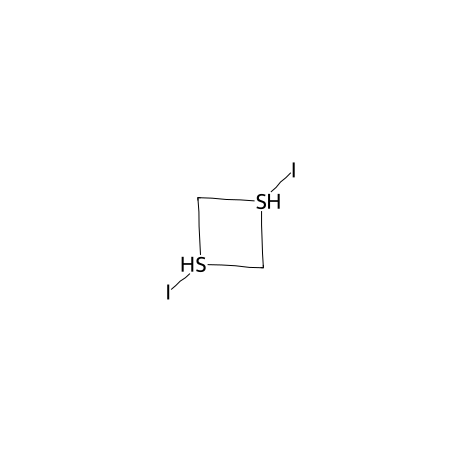 I[SH]1C[SH](I)C1